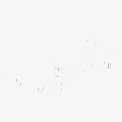 NC(=O)C(c1ccc(F)cc1)c1ccc(COC(=O)N[C@@H](COCCN2CCOCC2)C(=O)O)cc1